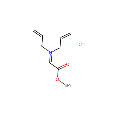 C=CC[N+](=CC(=O)OCCC)CC=C.[Cl-]